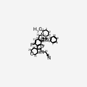 C[C@H]1CC[C@H](c2ccccc2)S(=O)(=O)N1Cc1cc(F)c(C2(C(=O)NCC#N)CCOCC2)cc1F